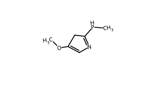 COC1=CN=C(PC)C1